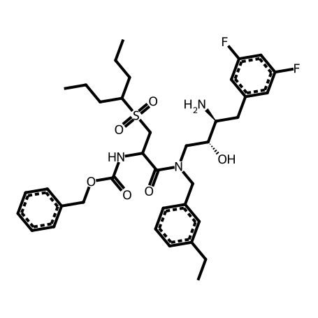 CCCC(CCC)S(=O)(=O)CC(NC(=O)OCc1ccccc1)C(=O)N(Cc1cccc(CC)c1)C[C@@H](O)[C@@H](N)Cc1cc(F)cc(F)c1